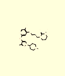 Cc1nn(C2CCN(C)CC2)cc1Nc1cc(NCCCN2CCCN(C)C2=O)c(C(F)(F)F)cn1